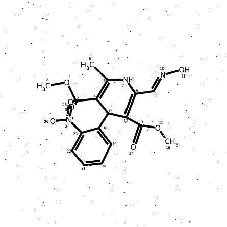 COC(=O)C1=C(C)NC(C=NO)=C(C(=O)OC)C1c1ccccc1[N+](=O)[O-]